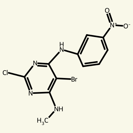 CNc1nc(Cl)nc(Nc2cccc([N+](=O)[O-])c2)c1Br